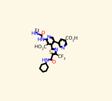 CCNC(=O)Nc1ncc(-c2cncc(C(=O)O)c2)c(-c2nc(C(F)(F)F)c(C(=O)NC3CCCCC3)s2)c1C(=O)O